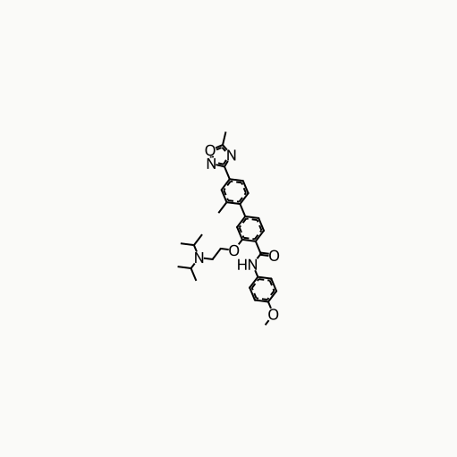 COc1ccc(NC(=O)c2ccc(-c3ccc(-c4noc(C)n4)cc3C)cc2OCCN(C(C)C)C(C)C)cc1